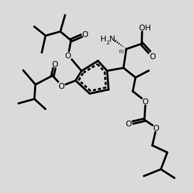 CC(C)CCOC(=O)OCC(C)C(c1ccc(OC(=O)C(C)C(C)C)c(OC(=O)C(C)C(C)C)c1)[C@H](N)C(=O)O